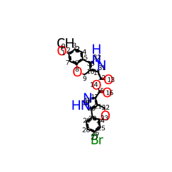 COc1ccc2c(c1)OCc1c(C(=O)OC(=O)c3n[nH]c4c3COc3cc(Br)ccc3-4)n[nH]c1-2